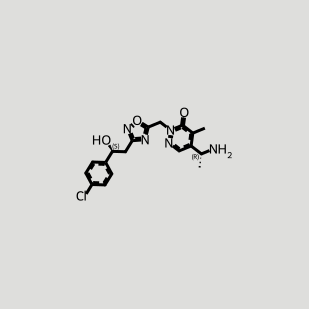 Cc1c([C@@H](C)N)cnn(Cc2nc(C[C@H](O)c3ccc(Cl)cc3)no2)c1=O